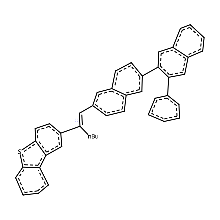 CCCC/C(=C\c1ccc2cc(-c3cc4ccccc4cc3-c3ccccc3)ccc2c1)c1ccc2sc3ccccc3c2c1